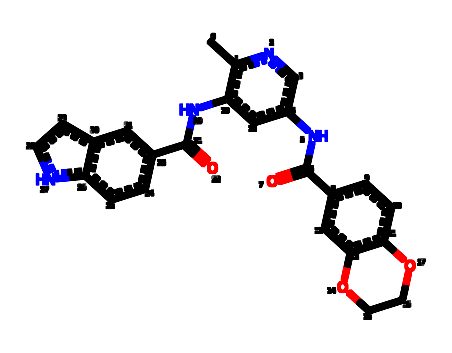 Cc1ncc(NC(=O)c2ccc3c(c2)OCCO3)cc1NC(=O)c1ccc2[nH]ccc2c1